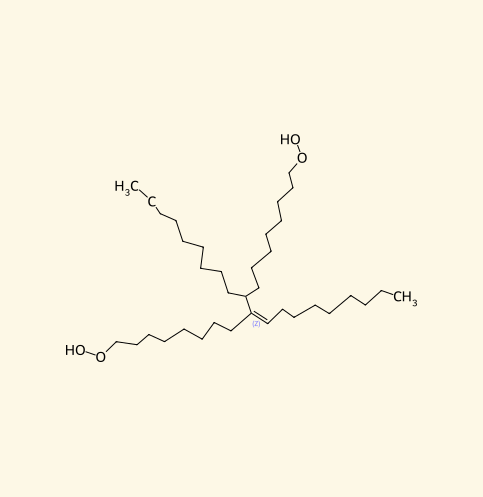 CCCCCCCC/C=C(/CCCCCCCCOO)C(CCCCCCCCC)CCCCCCCCOO